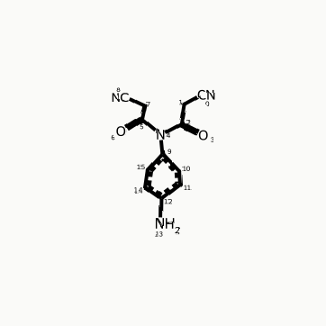 N#CCC(=O)N(C(=O)CC#N)c1ccc(N)cc1